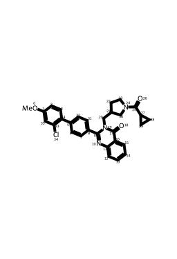 COc1ccc(-c2ccc(-c3nc4ccccc4c(=O)n3CC3CCN(C(=O)C4CC4)C3)cc2)c(Cl)c1